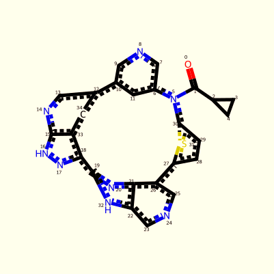 O=C(C1CC1)n1c2cncc(c2)c2cnc3[nH]nc(c4nc5c(cncc5c5ccc1s5)[nH]4)c3c2